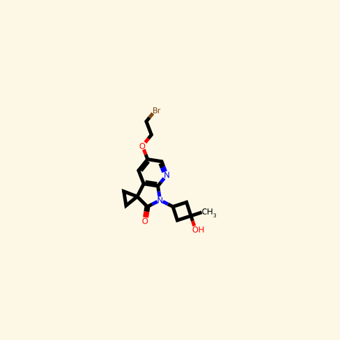 CC1(O)CC(N2C(=O)C3(CC3)c3cc(OCCBr)cnc32)C1